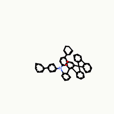 C1=CC(c2ccc(N(c3ccc(-c4ccccc4)cc3)c3ccccc3-c3cccc4c3-c3ccccc3C43c4ccccc4-c4ccccc43)cc2)=CCC1